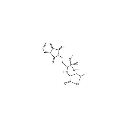 COP(=O)(OC)C(CCN1C(=O)c2ccccc2C1=O)NC(CC(C)C)C(=O)O